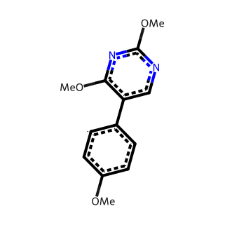 COc1c[c]c(-c2cnc(OC)nc2OC)cc1